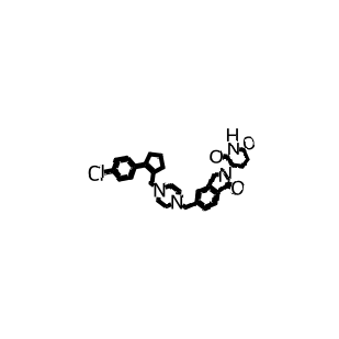 O=C1CCC(N2Cc3cc(CN4CCN(CC5=C(c6ccc(Cl)cc6)CCC5)CC4)ccc3C2=O)C(=O)N1